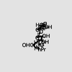 CCCN1CC(C=O)=CN([C@@H]2O[C@H](COP(=O)(O)CP(=O)(O)O)C(O)C2O)C1=O